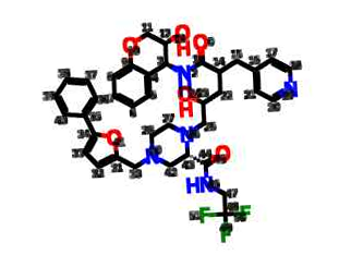 O=C(N[C@H]1c2ccccc2OC[C@H]1O)C(Cc1ccncc1)C[C@H](O)CN1CCN(Cc2ccc(-c3ccccc3)o2)C[C@H]1C(=O)NCC(F)(F)F